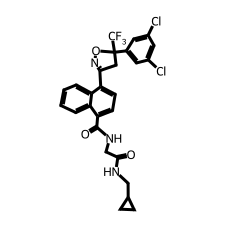 O=C(CNC(=O)c1ccc(C2=NOC(c3cc(Cl)cc(Cl)c3)(C(F)(F)F)C2)c2ccccc12)NCC1CC1